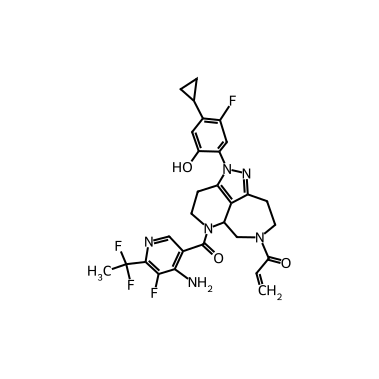 C=CC(=O)N1CCc2nn(-c3cc(F)c(C4CC4)cc3O)c3c2C(C1)N(C(=O)c1cnc(C(C)(F)F)c(F)c1N)CC3